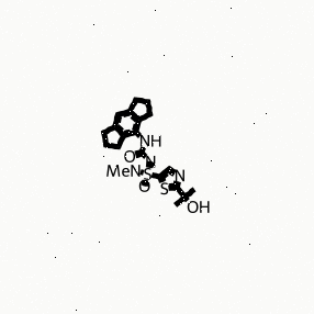 CNS(=O)(=NC(=O)Nc1c2c(cc3c1CCC3)CCC2)c1cnc(C(C)(C)O)s1